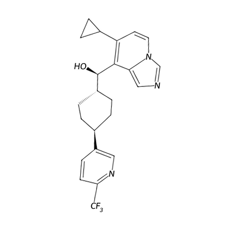 O[C@@H](c1c(C2CC2)ccn2cncc12)[C@H]1CC[C@H](c2ccc(C(F)(F)F)nc2)CC1